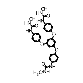 CNC(=O)Nc1ccc(Oc2cc(Oc3ccc(NC(=O)NC)cc3)cc(Oc3ccc(NC(=O)NC)cc3)c2)cc1